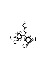 [CH2]CCCCC(c1cc(Cl)cc(Cl)c1)c1ccc(Cl)c(Cl)c1